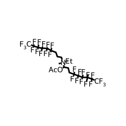 CC[N+](C)(CCCC(F)(F)C(F)(F)C(F)(F)C(F)(F)C(F)(F)C(F)(F)F)C(CCC(F)(F)C(F)(F)C(F)(F)C(F)(F)C(F)(F)C(F)(F)F)OC(C)=O